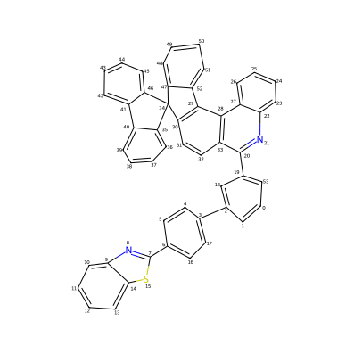 c1cc(-c2ccc(-c3nc4ccccc4s3)cc2)cc(-c2nc3ccccc3c3c4c(ccc23)C2(c3ccccc3-c3ccccc32)c2ccccc2-4)c1